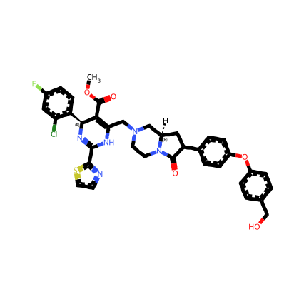 COC(=O)C1=C(CN2CCN3C(=O)C(c4ccc(Oc5ccc(CO)cc5)cc4)C[C@@H]3C2)NC(c2nccs2)=N[C@H]1c1ccc(F)cc1Cl